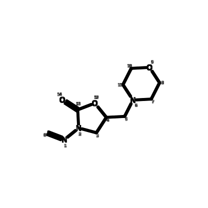 C=NN1CC(CN2CCOCC2)OC1=O